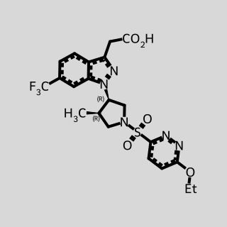 CCOc1ccc(S(=O)(=O)N2C[C@@H](C)[C@@H](n3nc(CC(=O)O)c4ccc(C(F)(F)F)cc43)C2)nn1